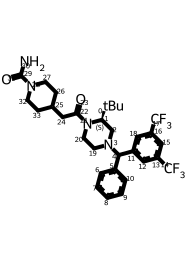 CC(C)(C)[C@H]1CN(C(c2ccccc2)c2cc(C(F)(F)F)cc(C(F)(F)F)c2)CCN1C(=O)CC1CCN(C(N)=O)CC1